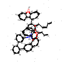 C=C/C=C\C=C/CC(/C=C\N(c1ccc(-c2cccc3oc4ccccc4c23)cc1)c1cccc(-c2ccccc2-c2ccc3ccc4oc5ccccc5c4c3c2)c1)=C/C=C